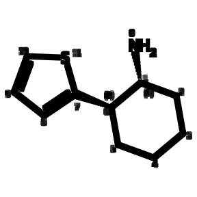 N[C@@H]1CCCC[C@H]1c1cccs1